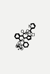 CC(ONC(=O)[C@@H]1c2ccccc2C(=O)N([C@H]2CCCC[C@@H]2NS(C)(=O)=O)C1C1C=CC(Cl)=C1)c1ccccn1